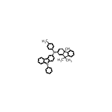 Cc1ccc(N(C2=CCC3(C)C(=C2)C(C)(C)c2ccccc23)c2ccc3c(c2)c2ccccc2n3-c2ccccc2)cc1